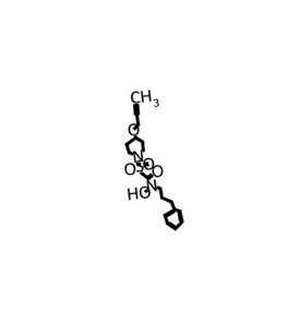 CC#CCOC1CCN(S(=O)(=O)CC(=O)N(O)CCCc2ccccc2)CC1